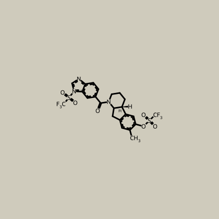 Cc1cc2c(cc1OS(=O)(=O)C(F)(F)F)[C@H]1CCCN(C(=O)c3ccc4ncn(S(=O)(=O)C(F)(F)F)c4c3)C1C2